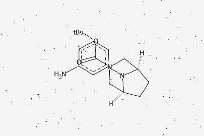 CC(C)(C)OC(=O)N1C[C@H]2CC[C@@H](C1)N2c1cccc(N)c1